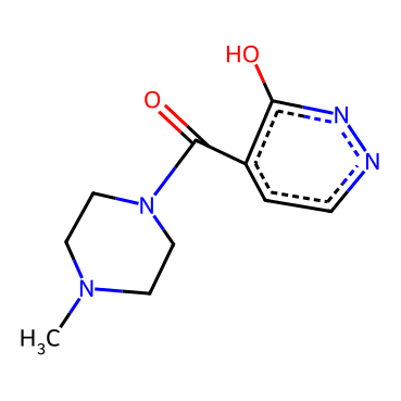 CN1CCN(C(=O)c2ccnnc2O)CC1